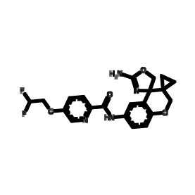 NC1=NC2(CO1)c1cc(NC(=O)c3ccc(OCC(F)F)cn3)ccc1OCC21CC1